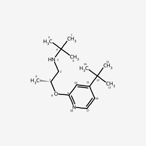 C[C@H](CNC(C)(C)C)Oc1cc(C(C)(C)C)ccn1